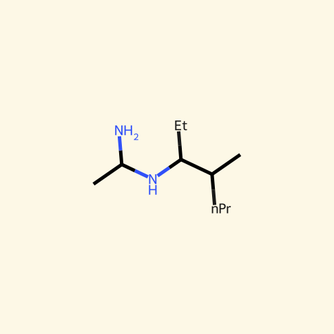 CCCC(C)C(CC)NC(C)N